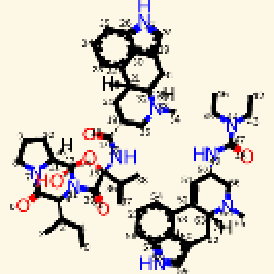 CCC(C)[C@H]1C(=O)N2CCC[C@H]2[C@]2(O)O[C@](NC(=O)[C@@H]3C[C@@H]4c5cccc6[nH]cc(c56)C[C@H]4N(C)C3)(C(C)C)C(=O)N12.CCN(CC)C(=O)N[C@H]1C=C2c3cccc4[nH]cc(c34)C[C@H]2N(C)C1